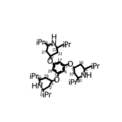 CC(C)C1CC(Oc2cc(OC3CC(C(C)C)NC(C(C)C)C3)cc(OC3CC(C(C)C)NC(C(C)C)C3)c2)CC(C(C)C)N1